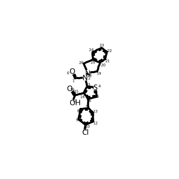 O=CN(c1scc(-c2ccc(Cl)cc2)c1C(=O)O)N1Cc2ccccc2C1